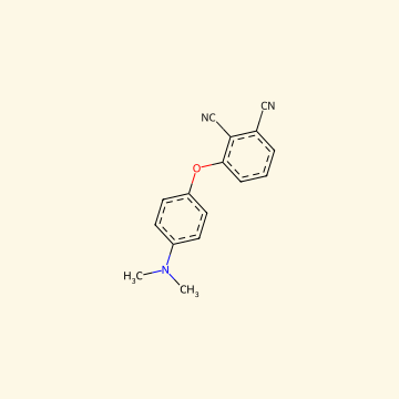 CN(C)c1ccc(Oc2cccc(C#N)c2C#N)cc1